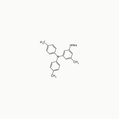 CCCCCCc1cc(C)cc(N(c2ccc(C)cc2)c2ccc(C)cc2)c1